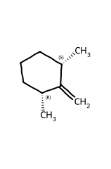 C=C1[C@H](C)CCC[C@@H]1C